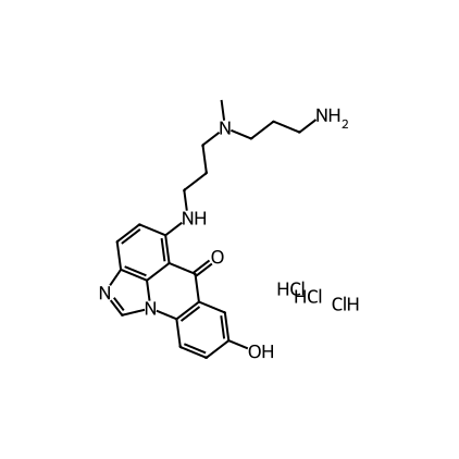 CN(CCCN)CCCNc1ccc2ncn3c4ccc(O)cc4c(=O)c1c23.Cl.Cl.Cl